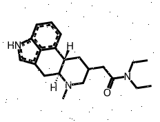 CCN(CC)C(=O)CC1C[C@H]2c3cccc4[nH]cc(c34)C[C@@H]2N(C)C1